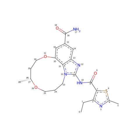 CCc1nc(C)sc1C(=O)Nc1nc2cc(C(N)=O)cc3c2n1CCCO[C@H](C)CCO3